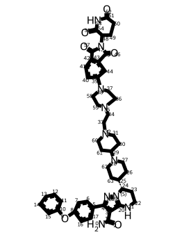 NC(=O)c1c(-c2ccc(Oc3ccccc3)cc2)nn2c1NCC[C@H]2C1CCN(C2CCN(CCN3CCN(c4ccc5c(c4)C(=O)N(C4CCC(=O)NC4=O)C5=O)CC3)CC2)CC1